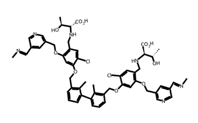 C/N=C/c1cncc(COc2cc(OCc3cccc(-c4cccc(COc5cc(OCc6cncc(/C=N/C)c6)c(CN[C@@H](C(=O)O)[C@H](C)O)cc5Cl)c4C)c3C)c(Cl)cc2CN[C@@H](C(=O)O)[C@H](C)O)c1